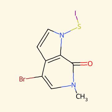 Cn1cc(Br)c2ccn(SI)c2c1=O